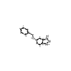 [c]1cc(OCc2ccccc2)cc2[nH]nnc12